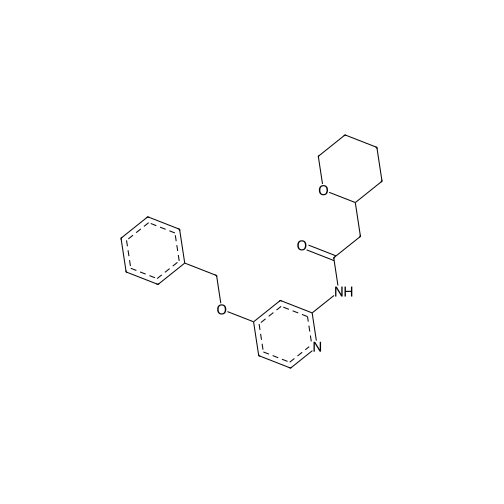 O=C(CC1CCCCO1)Nc1cc(OCc2ccccc2)ccn1